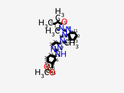 CCC(C)C(=O)N(C)c1nc2ccccc2n1CN(C)c1ccnc(Nc2cccc(CS(C)(=O)=O)c2)n1